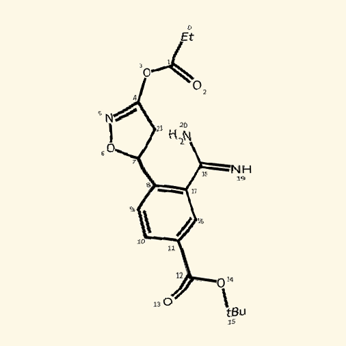 CCC(=O)OC1=NOC(c2ccc(C(=O)OC(C)(C)C)cc2C(=N)N)C1